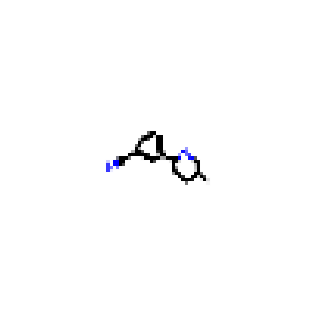 CC1CCC(c2cccc(C#N)c2)=NC1